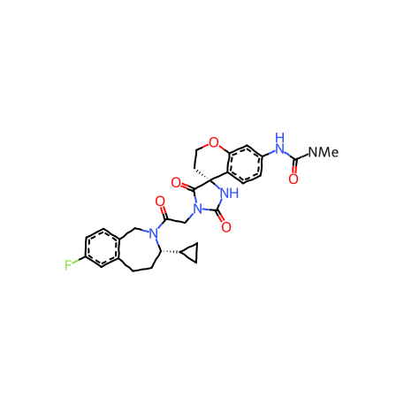 CNC(=O)Nc1ccc2c(c1)OCC[C@@]21NC(=O)N(CC(=O)N2Cc3ccc(F)cc3CC[C@H]2C2CC2)C1=O